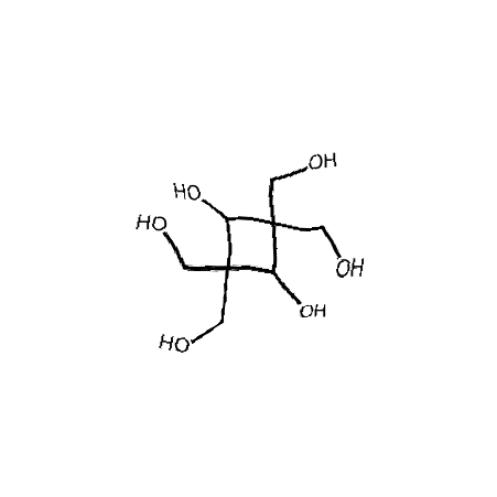 OCC1(CO)C(O)C(CO)(CO)C1O